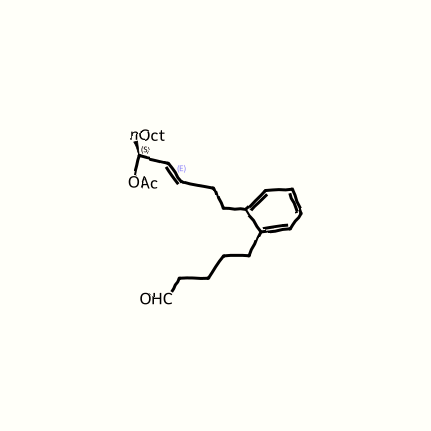 CCCCCCCC[C@@H](/C=C/CCc1ccccc1CCCCC=O)OC(C)=O